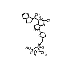 COP(=O)(CP(=O)(O)O)OC[C@@H]1CC[C@H](n2ncc3c(N(C)[C@H]4CCc5ccccc54)nc(Cl)nc32)O1